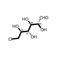 O=C[C@H](O)[C@H](O)[C@H](O)[C@H](O)CCl